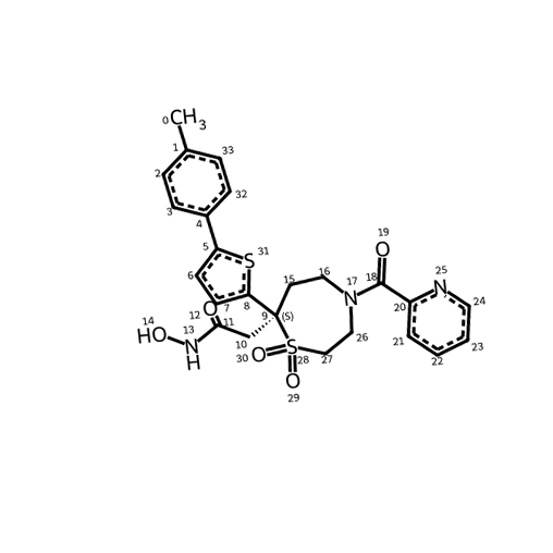 Cc1ccc(-c2ccc([C@@]3(CC(=O)NO)CCN(C(=O)c4ccccn4)CCS3(=O)=O)s2)cc1